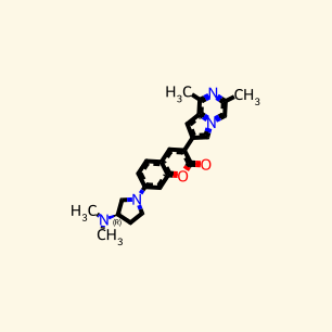 Cc1cn2cc(-c3cc4ccc(N5CC[C@@H](N(C)C)C5)cc4oc3=O)cc2c(C)n1